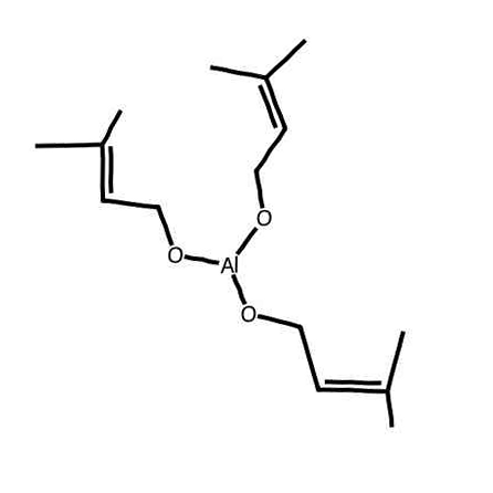 CC(C)=CC[O][Al]([O]CC=C(C)C)[O]CC=C(C)C